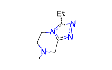 CCc1nnc2n1CCN(C)C2